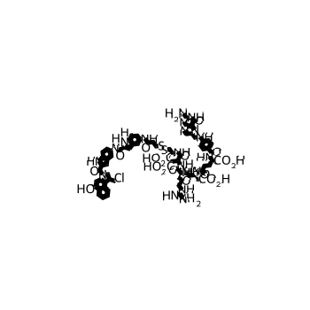 N=C(N)NCCC[C@H](NC(=O)[C@H](CC(=O)O)NC(=O)CC[C@H](NC(=O)c1ccc(NCc2cnc3nc(N)[nH]c(=O)c3n2)cc1)C(=O)O)C(=O)NC(CC(=O)O)C(=O)N[C@@H](CSSCCC(=O)Nc1ccc2[nH]c(C(=O)Nc3ccc4[nH]c(C(=O)N5CC(CCl)c6c5cc(O)c5ccccc65)cc4c3)cc2c1)C(=O)O